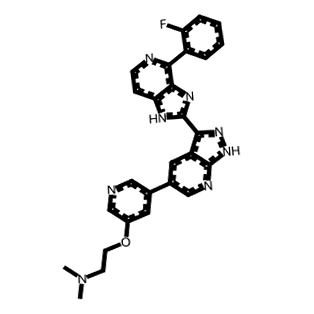 CN(C)CCOc1cncc(-c2cnc3[nH]nc(-c4nc5c(-c6ccccc6F)nccc5[nH]4)c3c2)c1